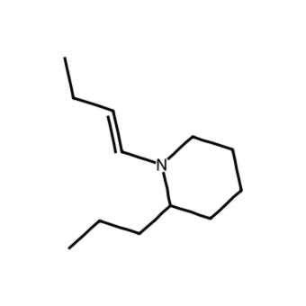 CCC=CN1CCCCC1CCC